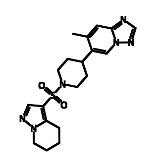 Cc1cc2ncnn2cc1C1CCN(S(=O)(=O)c2cnn3c2CCCC3)CC1